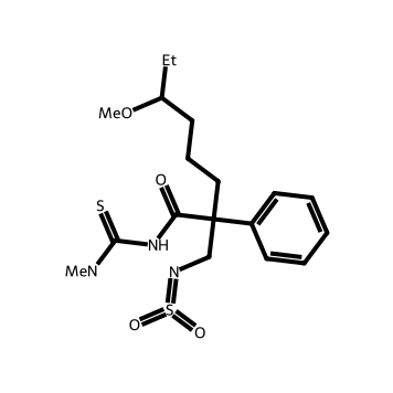 CCC(CCCC(CN=S(=O)=O)(C(=O)NC(=S)NC)c1ccccc1)OC